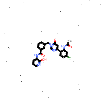 CC(C)(C)C(=O)Nc1cc(Cl)ccc1-c1cc(=O)n(Cc2cccc(C(=O)Nc3cccnc3O)c2)cn1